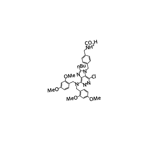 CCCCc1nc2c(N(Cc3ccc(OC)cc3OC)Cc3ccc(OC)cc3OC)nnc(Cl)c2n1Cc1ccc(CNC(=O)O)cc1